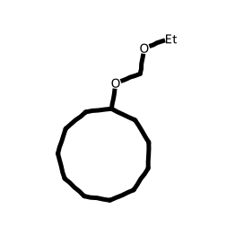 CCOCOC1CCCCCCCCCC1